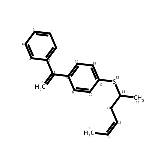 C=C(c1ccccc1)c1ccc(SC(C)C/C=C\C)cc1